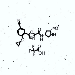 COC[C@H]1C[C@@H](NC(=O)c2ncc(-c3cc(C#N)ccc3OC3CC3)o2)CN1.O=C(O)C(F)(F)F